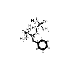 NP(N)(=O)NSN(Cc1ccccc1)P(N)(N)=O